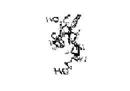 Cc1cc(N2CC(NCCO)C2)nc2c1c(=O)c(C(=O)O)cn2-c1nccs1